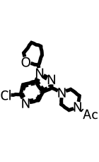 CC(=O)N1CCN(c2nn(C3CCCCO3)c3cc(Cl)ncc23)CC1